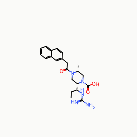 CCC(NC(=N)N)[C@@H]1CN(C(=O)Cc2ccc3ccccc3c2)[C@H](C)CN1C(=O)O